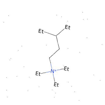 CCC(CC)CC[N+](CC)(CC)CC